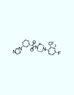 C[C@@H]1CN(c2ccc(F)cc2C(F)(F)F)CCN1S(=O)(=O)c1cccc(-n2ccnc2)c1